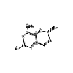 COc1cc(Br)cc2ccc(=O)oc12